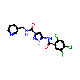 O=C(NCc1cccnc1)c1cc(NC(=O)c2cc(F)c(Cl)cc2Cl)[nH]n1